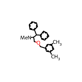 CNC(COCc1cc(C)cc(C)c1)C(c1ccccc1)c1ccccc1